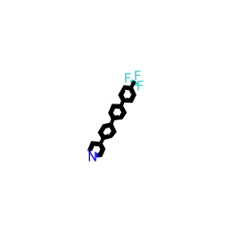 FC(F)(F)c1ccc(-c2ccc(-c3ccc(-c4ccncc4)cc3)cc2)cc1